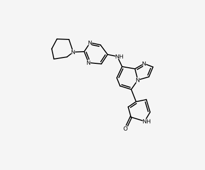 O=c1cc(-c2ccc(Nc3cnc(N4CCCCC4)nc3)c3nccn23)cc[nH]1